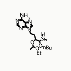 CCCCOC(C(CCn1cnc2c(N)ncnc21)OC(C)OCC)[SiH](C)C